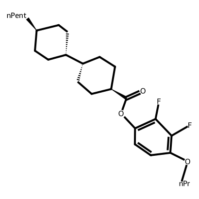 CCCCC[C@H]1CC[C@H]([C@H]2CC[C@H](C(=O)Oc3ccc(OCCC)c(F)c3F)CC2)CC1